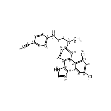 CN(CCNc1ccc(C#N)cn1)c1ncc(-c2cnc[nH]2)c(-c2ccc(Cl)cc2Cl)n1